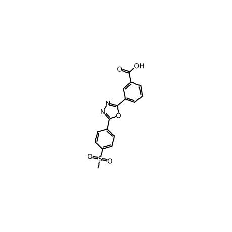 CS(=O)(=O)c1ccc(-c2nnc(-c3cccc(C(=O)O)c3)o2)cc1